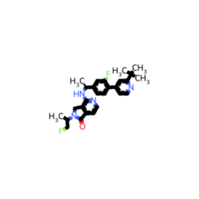 CC(CF)N1Cc2c(ccnc2N[C@@H](C)c2ccc(-c3ccnc(C(C)(C)C)c3)c(F)c2)C1=O